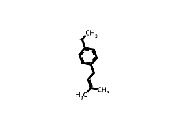 C[CH]c1ccc(CC=C(C)C)cc1